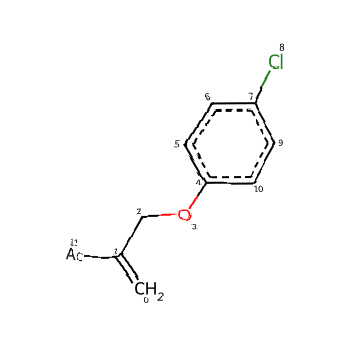 C=C(COc1ccc(Cl)cc1)C(C)=O